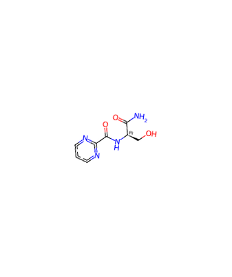 NC(=O)[C@@H](CO)NC(=O)c1ncccn1